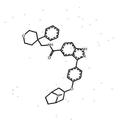 CN1C2CCC1CC(Oc1ccc(-c3n[nH]c4ccc(C(=O)NCC5(c6ccccc6)CCOCC5)cc34)cc1)C2